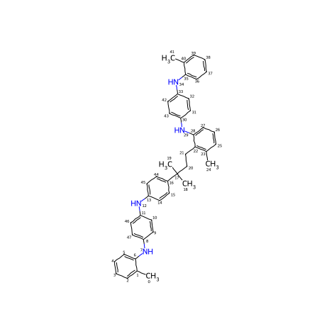 Cc1ccccc1Nc1ccc(Nc2ccc(C(C)(C)CCc3c(C)cccc3Nc3ccc(Nc4ccccc4C)cc3)cc2)cc1